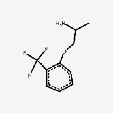 CC(N)COc1ccccc1C(F)(F)F